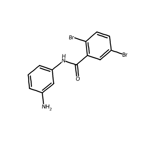 Nc1cccc(NC(=O)c2cc(Br)ccc2Br)c1